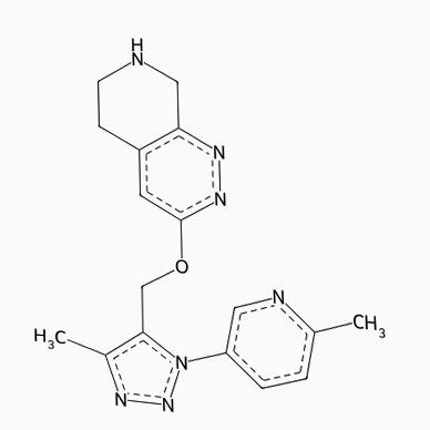 Cc1ccc(-n2nnc(C)c2COc2cc3c(nn2)CNCC3)cn1